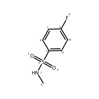 [CH2]NS(=O)(=O)c1ccc(F)cc1